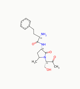 CC(=O)[C@H](CO)N1C(=O)[C@@H](NC(=O)[C@@H](N)CCc2ccccc2)CC1C